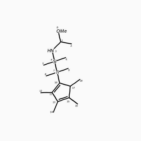 COC(C)N[Si](C)(C)[Ti]([CH3])([CH3])[C]1=C(C)C(C)=C(C)C1C